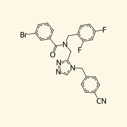 N#Cc1ccc(Cn2cnnc2CN(Cc2ccc(F)cc2F)C(=O)c2cccc(Br)c2)cc1